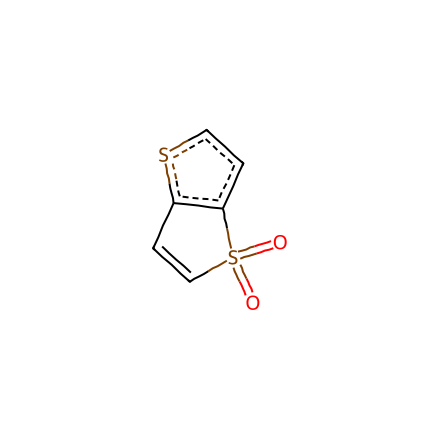 O=S1(=O)C=Cc2sccc21